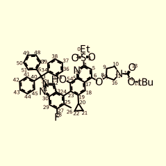 CCS(=O)(=O)c1cc(O[C@H]2CCN(C(=O)OC(C)(C)C)C2)c2cc(C3CC3)c(-c3c(C)c(F)cc4nn(C(c5ccccc5)(c5ccccc5)c5ccccc5)cc34)c(O)c2n1